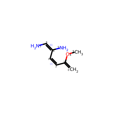 C=C(/C=C\C(N)=C/N)OC